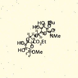 CCOC(=O)C1OC(C(C)(C)OC)C(O)[C@@H](O)[C@@H]1OC(C)(C)COC(C)(C)C1OC(C(=O)NC)[C@@H](OC(C)(C)C)C(O)C1O